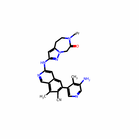 Cc1c(N)cncc1-c1cc2cc(Nc3cc4n(n3)CC(=O)N(C(C)C)CC4)ncc2c(C)c1C#N